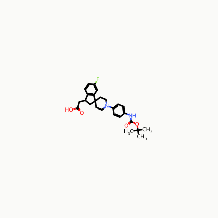 CC(C)(C)OC(=O)Nc1ccc(N2CCC3(CC2)CC(CC(=O)O)c2ccc(F)cc23)cc1